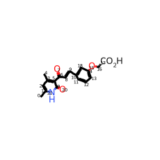 Cc1cc(C)c(C(=O)C=Cc2cccc(OCC(=O)O)c2)c(=O)[nH]1